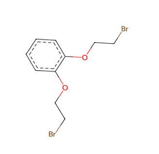 BrCCOc1ccccc1OCCBr